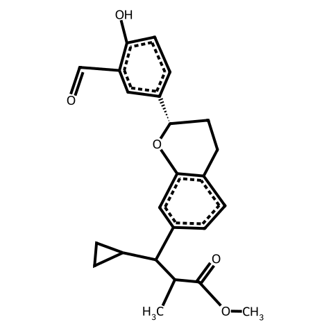 COC(=O)C(C)C(c1ccc2c(c1)O[C@H](c1ccc(O)c(C=O)c1)CC2)C1CC1